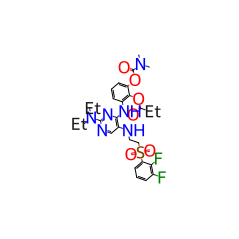 CCC(=O)Oc1c(Nc2nc(N(CC)CC)ncc2NCCS(=O)(=O)c2cccc(F)c2F)cccc1OC(=O)N(C)C